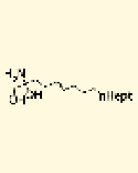 CCCCCCCCCC/C=C/CCC(N)(O)CO